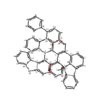 CC1(C)c2ccccc2-c2cccc(-c3cccc(N(c4ccccc4-c4ccccc4-c4ccccc4)c4cccc5oc6ccccc6c45)c3-c3ccccc3)c21